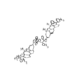 C=C(C)C1CCC2C3CC=C4CC(OS(=O)(=O)OCC(C)C(=O)OC5CCC6(C)C(=CCC7C6CCC6(C)C(C(C)=O)CCC76)C5)CCC4(C)C3CCC12C